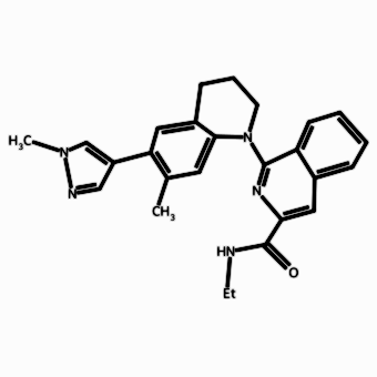 CCNC(=O)c1cc2ccccc2c(N2CCCc3cc(-c4cnn(C)c4)c(C)cc32)n1